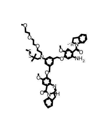 COCCOCCOCCN(CC(C)(C)SSC)c1cc(COc2cc(N)c(C(=O)N3c4ccccc4C[C@H]3C)cc2OC)cc(COc2cc3c(cc2OC)C(=O)N2c4ccccc4C[C@H]2C=N3)c1